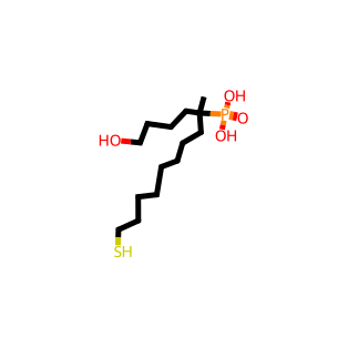 CC(CCCCO)(CCCCCCCCS)P(=O)(O)O